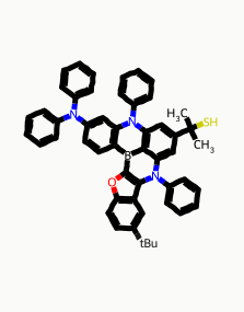 CC(C)(C)c1ccc2oc3c(c2c1)N(c1ccccc1)c1cc(C(C)(C)S)cc2c1B3c1ccc(N(c3ccccc3)c3ccccc3)cc1N2c1ccccc1